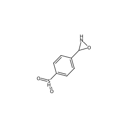 O=[SH](=O)c1ccc(C2NO2)cc1